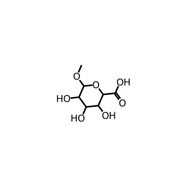 COC1OC(C(=O)O)C(O)C(O)C1O